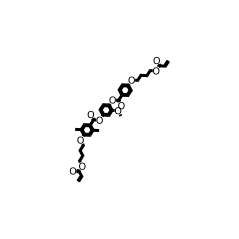 C=CC(=O)OCCCCOc1ccc(C(=O)Oc2ccc(OC(=O)c3cc(C)c(OCCCCOC(=O)C=C)cc3C)cc2OC)cc1